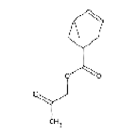 CC(=O)COC(=O)C1CC2C=CC1C2